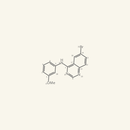 COc1cccc(Nc2ncnc3ccc(Br)cc23)c1